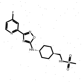 CS(=O)(=O)NC[C@H]1CC[C@H](Nc2nc(-c3cc(F)ccn3)no2)CC1